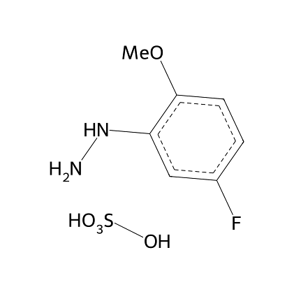 COc1ccc(F)cc1NN.O=S(=O)(O)O